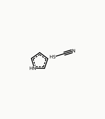 N#CS.c1cc[nH]c1